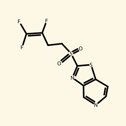 O=S(=O)(CCC(F)=C(F)F)c1nc2cnccc2s1